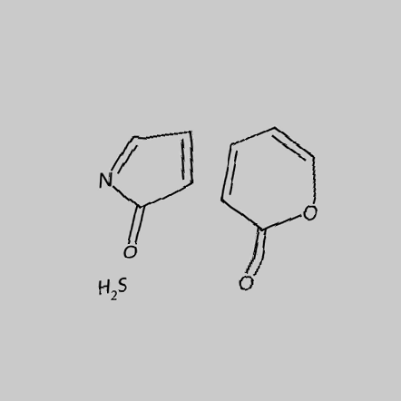 O=C1C=CC=N1.O=c1cccco1.S